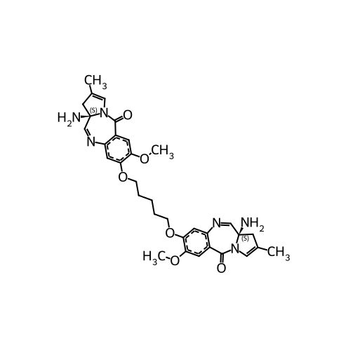 COc1cc2c(cc1OCCCCCOc1cc3c(cc1OC)C(=O)N1C=C(C)C[C@@]1(N)C=N3)N=C[C@]1(N)CC(C)=CN1C2=O